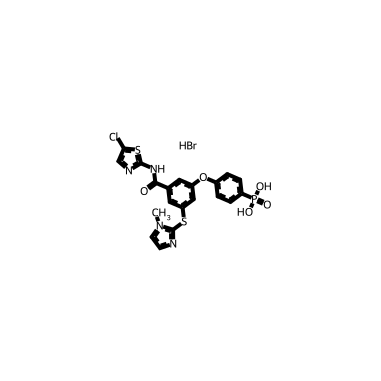 Br.Cn1ccnc1Sc1cc(Oc2ccc(P(=O)(O)O)cc2)cc(C(=O)Nc2ncc(Cl)s2)c1